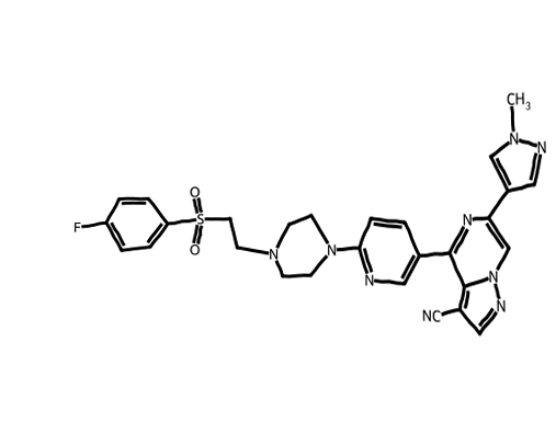 Cn1cc(-c2cn3ncc(C#N)c3c(-c3ccc(N4CCN(CCS(=O)(=O)c5ccc(F)cc5)CC4)nc3)n2)cn1